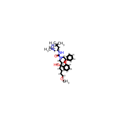 CNC[C@H](CC(C)(C)C)NC(=O)N1CCC[C@@H]([C@@](O)(CCCCOC)c2ccccc2Oc2ccccc2)C1